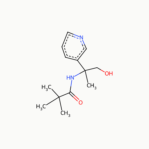 CC(C)(C)C(=O)NC(C)(CO)c1cccnc1